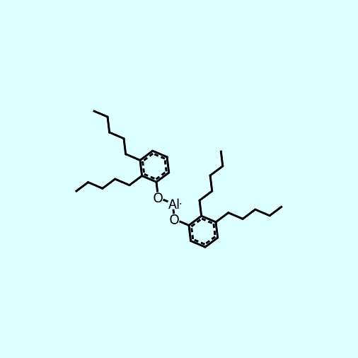 CCCCCc1cccc([O][Al][O]c2cccc(CCCCC)c2CCCCC)c1CCCCC